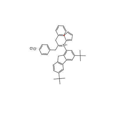 CC(C)(C)c1ccc2c(c1)-c1cc(C(C)(C)C)c[c]([Ti+2]([C]3=CC=CC3)=[C](Cc3ccccc3)Cc3ccccc3)c1C2.[Cl-].[Cl-]